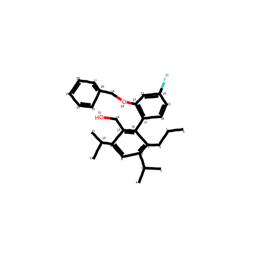 CCCc1c(C(C)C)cc(C(C)C)c(CO)c1-c1ccc(F)cc1OCc1ccccc1